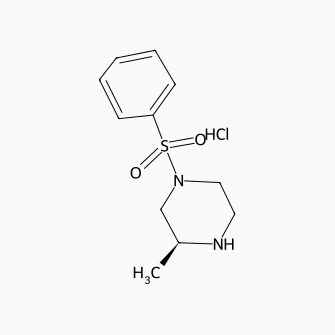 C[C@H]1CN(S(=O)(=O)c2ccccc2)CCN1.Cl